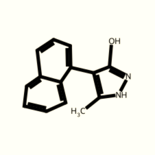 Cc1[nH]nc(O)c1-c1cccc2ccccc12